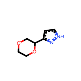 c1cc(C2COCCO2)n[nH]1